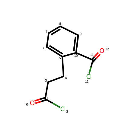 O=C(Cl)CCc1ccccc1C(=O)Cl